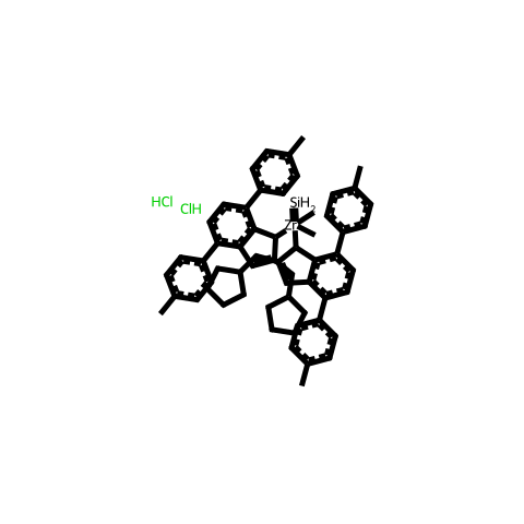 Cc1ccc(-c2ccc(-c3ccc(C)cc3)c3c2C=C(CC2CCCC2)[CH]3[Zr]([CH3])([CH3])(=[SiH2])[CH]2C(CC3CCCC3)=Cc3c(-c4ccc(C)cc4)ccc(-c4ccc(C)cc4)c32)cc1.Cl.Cl